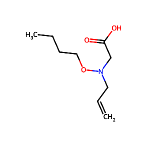 C=CCN(CC(=O)O)OCCCC